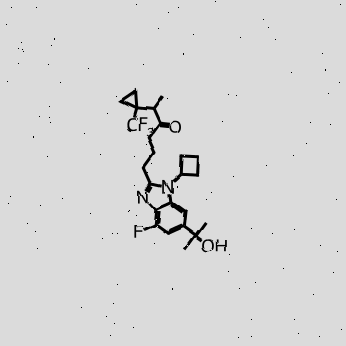 CC(C(=O)CCCc1nc2c(F)cc(C(C)(C)O)cc2n1C1CCC1)C1(C(F)(F)F)CC1